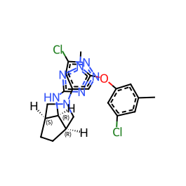 Cc1cc(Cl)cc(Oc2nc(N[C@H]3[C@@H]4CC[C@H]3CN(c3cnnc(Cl)c3)C4)nn2C)c1